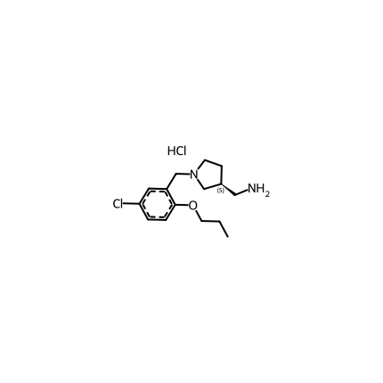 CCCOc1ccc(Cl)cc1CN1CC[C@@H](CN)C1.Cl